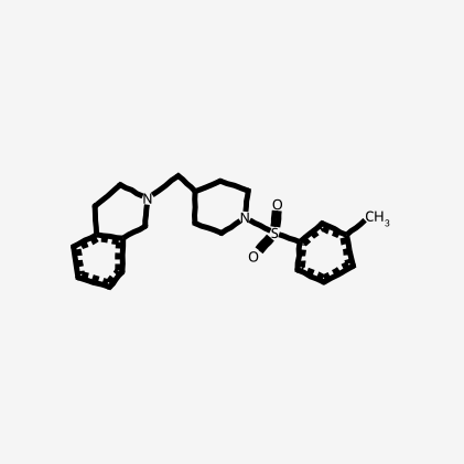 Cc1cccc(S(=O)(=O)N2CCC(CN3CCc4ccccc4C3)CC2)c1